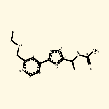 CCOCc1cc(-c2noc(C(C)OC(N)=O)n2)ccn1